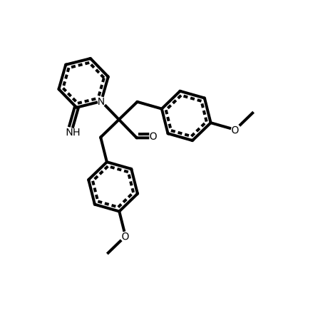 COc1ccc(CC(C=O)(Cc2ccc(OC)cc2)n2ccccc2=N)cc1